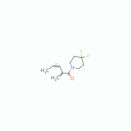 C=C(/C=C\C)C(=O)N1CCC(F)(F)CC1